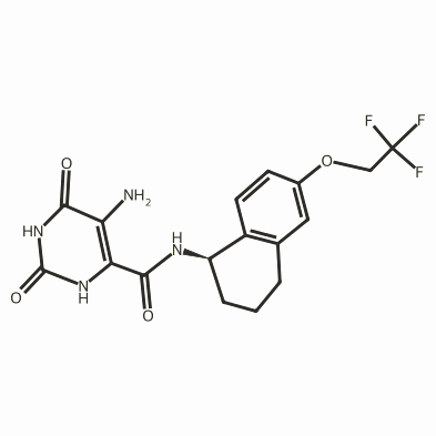 Nc1c(C(=O)N[C@@H]2CCCc3cc(OCC(F)(F)F)ccc32)[nH]c(=O)[nH]c1=O